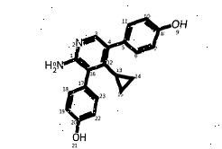 Nc1ncc(-c2ccc(O)cc2)c(C2CC2)c1-c1ccc(O)cc1